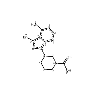 Nc1ncnn2c(C3CCCN(C(=O)O)C3)cc(Br)c12